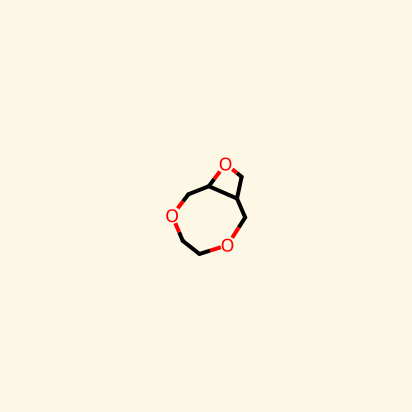 C1COCC2OCC2CO1